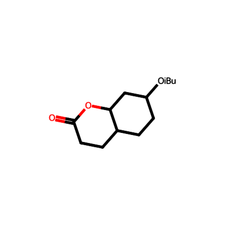 CC(C)COC1CCC2CCC(=O)OC2C1